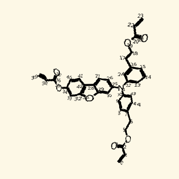 C=CC(=O)OCCc1ccc(N(c2cccc(CCOC(=O)C=C)c2)c2ccc3c(c2)oc2cc(OC(=O)C=C)ccc23)cc1